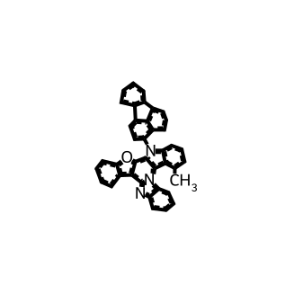 Cc1cccc2c1c1c(c3oc4ccccc4c3c3nc4ccccc4n31)n2-c1ccc2c3c(cccc13)-c1ccccc1-2